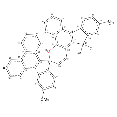 COc1ccc(C2(c3cc4ccccc4c4ccccc34)C=Cc3c4c(c5ccccc5c3O2)-c2ccc(C(F)(F)F)cc2C4(C)C)cc1